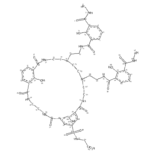 CCCNC(=O)c1cccc(C(=O)NCCN2CCNC(=O)c3cccc(c3O)C(=O)NCCNC(=O)c3cc(S(=O)(=O)NCC(=O)O)cc(c3O)C(=O)NCCN(CCNC(=O)c3cccc(C(=O)NCCC)c3O)CC2)c1O